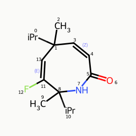 CC(C)C1(C)/C=C\C(=O)NC(C)(C(C)C)/C(F)=C\1